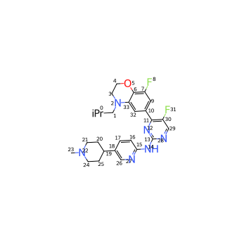 CC(C)CN1CCOc2c(F)cc(-c3nc(Nc4ccc(C5CCN(C)CC5)cn4)ncc3F)cc21